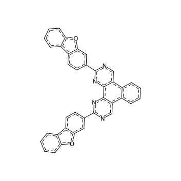 c1ccc2c(c1)oc1cc(-c3ncc4c5ccccc5c5cnc(-c6ccc7c(c6)oc6ccccc67)nc5c4n3)ccc12